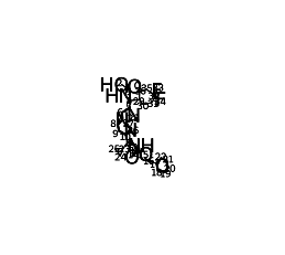 O=C(O)N[C@H](c1cn2ccc(C(NC(=O)OCc3ccccc3)C3CC3)nc2n1)C1CCC(F)(F)CC1